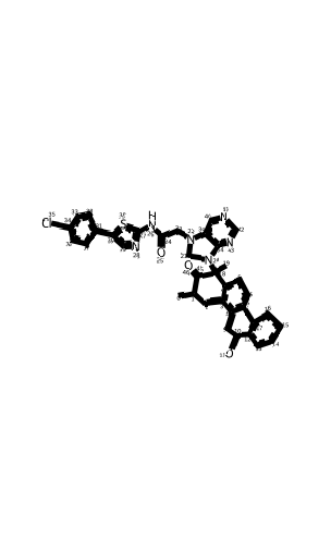 CC1C=c2c(ccc3c2=CC(=O)c2ccccc2-3)C(C)(N2CN(CC(=O)Nc3ncc(-c4ccc(Cl)cc4)s3)c3cncnc32)C1=O